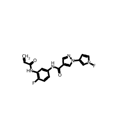 C=CC(=O)Nc1cc(NC(=O)c2cnn(-c3ccn(F)c3)c2)ccc1F